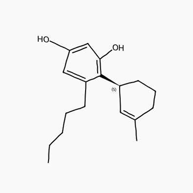 CCCCCc1cc(O)cc(O)c1[C@@H]1C=C(C)CCC1